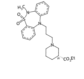 CCOC(=O)[C@@H]1CCCN(CCCN2c3ccccc3N(C)S(=O)(=O)c3ccccc32)C1